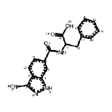 Nc1n[nH]c2cc(C(=O)NC(Cc3ccccc3)C(=O)O)ccc12